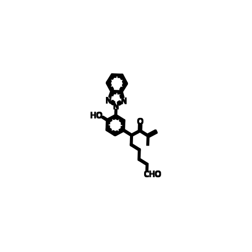 C=C(C)C(=O)C(CCCCC=O)c1ccc(O)c(-n2nc3ccccc3n2)c1